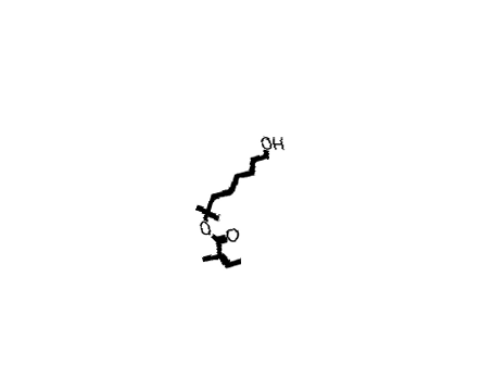 CC=C(C)C(=O)OC(C)(C)CCCCCCO